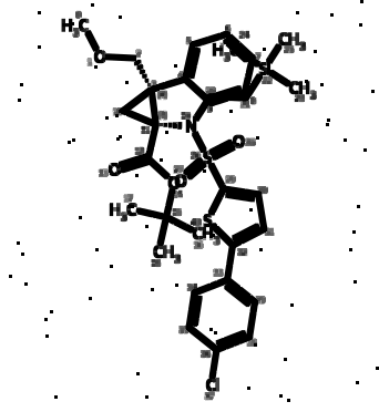 COC[C@@]1(c2ccccc2)C[C@@]1(C(=O)OC(C)(C)C)N(CC[Si](C)(C)C)S(=O)(=O)c1ccc(-c2ccc(Cl)cc2)s1